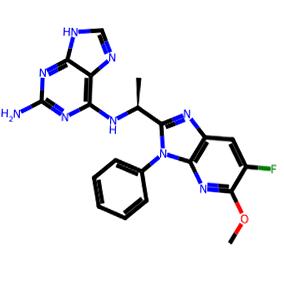 COc1nc2c(cc1F)nc([C@H](C)Nc1nc(N)nc3[nH]cnc13)n2-c1ccccc1